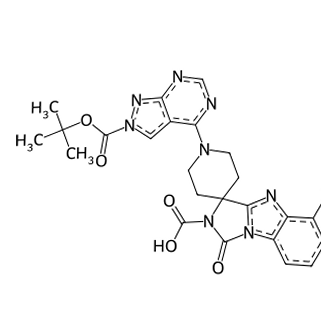 CC(C)(C)OC(=O)n1cc2c(N3CCC4(CC3)c3nc5c(O)cccc5n3C(=O)N4C(=O)O)ncnc2n1